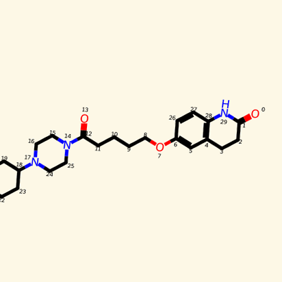 O=C1CCc2cc(OCCCCC(=O)N3CCN(C4CCCCC4)CC3)ccc2N1